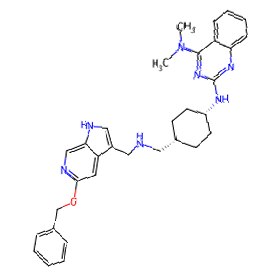 CN(C)c1nc(N[C@H]2CC[C@@H](CNCc3c[nH]c4cnc(OCc5ccccc5)cc34)CC2)nc2ccccc12